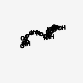 O=C1CC[C@H](N2Cc3cc(C4CCN(CC5CCN(c6ccc(-c7cnc8[nH]cc(C(=O)c9c(F)ccc(NS(=O)(=O)N%10CC[C@@H](O)C%10)c9F)c8c7)cc6)CC5)CC4)ccc3C2=O)C(=O)N1